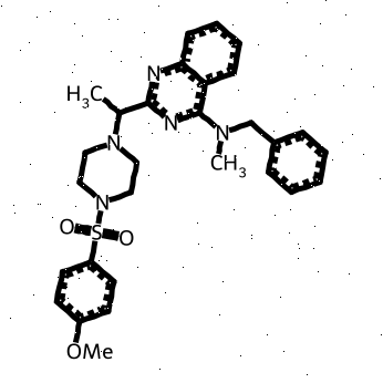 COc1ccc(S(=O)(=O)N2CCN(C(C)c3nc(N(C)Cc4ccccc4)c4ccccc4n3)CC2)cc1